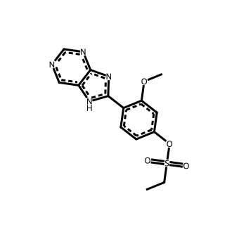 CCS(=O)(=O)Oc1ccc(-c2nc3ncncc3[nH]2)c(OC)c1